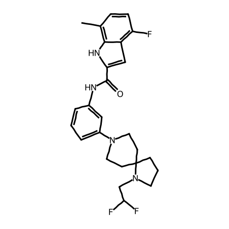 Cc1ccc(F)c2cc(C(=O)Nc3cccc(N4CCC5(CCCN5CC(F)F)CC4)c3)[nH]c12